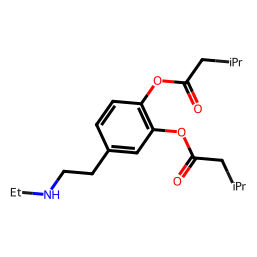 CCNCCc1ccc(OC(=O)CC(C)C)c(OC(=O)CC(C)C)c1